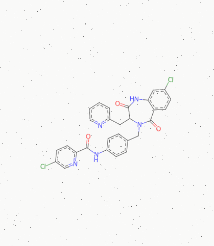 O=C(Nc1ccc(CN2C(=O)c3ccc(Cl)cc3NC(=O)C2Cc2ccccn2)cc1)c1ccc(Cl)cn1